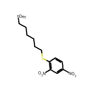 CCCCCCCCCCCCCCCCSc1ccc([N+](=O)[O-])cc1[N+](=O)[O-]